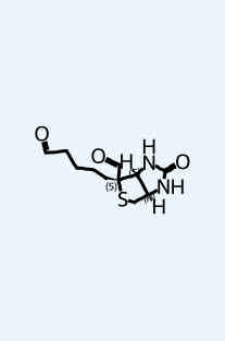 O=CCCCC[C@]1(C=O)SC[C@@H]2NC(=O)N[C@@H]21